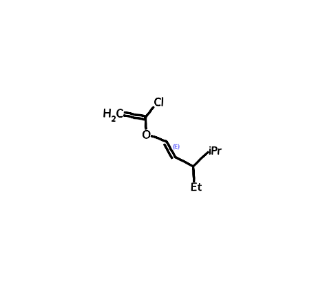 C=C(Cl)O/C=C/C(CC)C(C)C